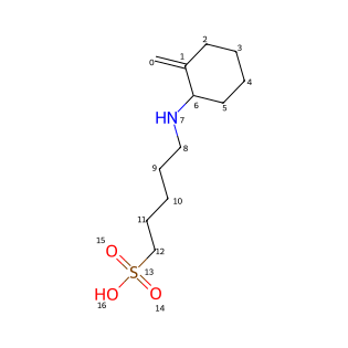 C=C1CCCCC1NCCCCCS(=O)(=O)O